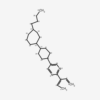 C=C/C(=C\C)c1ncc(C2CCC(C3CCCC(CCCC)CC3)CC2)cn1